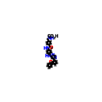 O=C(O)NCc1ccc(C(=O)Nc2ccc(Nc3cc(-c4cccc5c4oc4ccccc45)ncn3)cc2)cc1